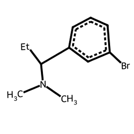 [CH2]CC(c1cccc(Br)c1)N(C)C